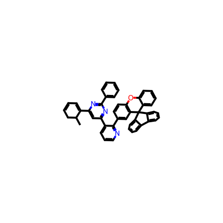 CC1CC=CC=C1c1cc(-c2cccnc2-c2ccc3c(c2)C2(c4ccccc4O3)c3ccccc3-c3ccccc32)nc(-c2ccccc2)n1